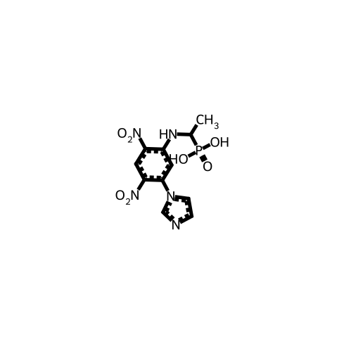 CC(Nc1cc(-n2ccnc2)c([N+](=O)[O-])cc1[N+](=O)[O-])P(=O)(O)O